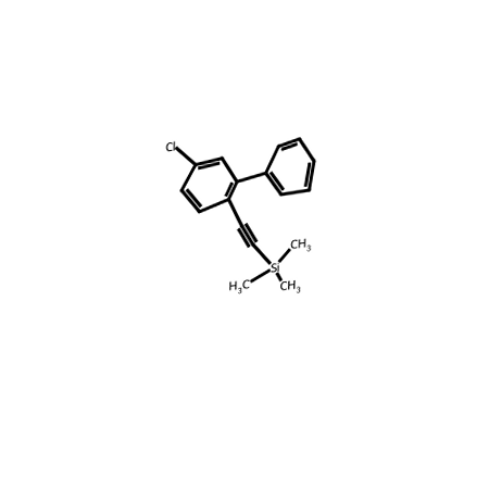 C[Si](C)(C)C#Cc1ccc(Cl)cc1-c1ccccc1